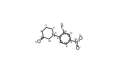 O=C1CCCN(c2ccc([N+](=O)[O-])cc2F)C1